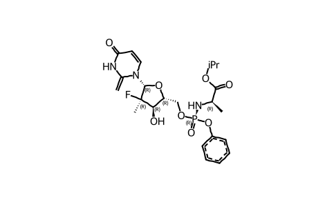 C=C1NC(=O)C=CN1[C@@H]1O[C@H](CO[P@](=O)(N[C@H](C)C(=O)OC(C)C)Oc2ccccc2)[C@@H](O)[C@@]1(C)F